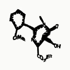 CCOC(=O)c1nc(-c2ccccc2OC)n(C)c(=O)c1O